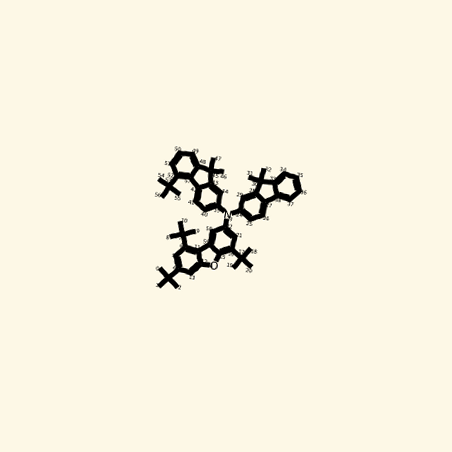 CC(C)(C)c1cc(C(C)(C)C)c2c(c1)oc1c(C(C)(C)C)cc(N(c3ccc4c(c3)C(C)(C)c3ccccc3-4)c3ccc4c(c3)C(C)(C)c3cccc(C(C)(C)C)c3-4)cc12